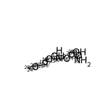 NC(=O)c1cc(OCCNCC(O)COc2ccc(CCOCC3CC3)cc2)ccc1O